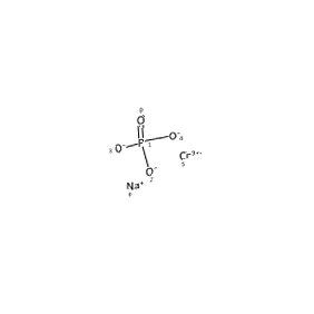 O=P([O-])([O-])[O-].[Cr+3].[Na+]